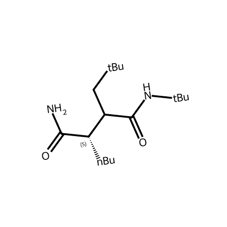 CCCC[C@H](C(N)=O)C(CC(C)(C)C)C(=O)NC(C)(C)C